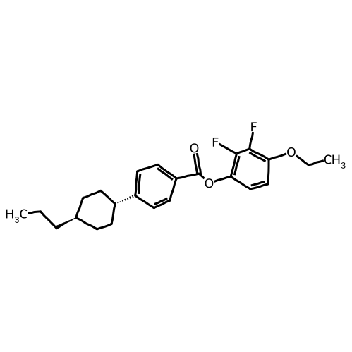 CCC[C@H]1CC[C@H](c2ccc(C(=O)Oc3ccc(OCC)c(F)c3F)cc2)CC1